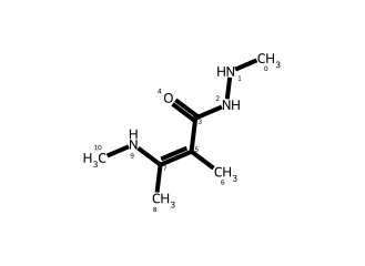 CNNC(=O)/C(C)=C(/C)NC